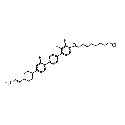 C/C=C/C1CCC(c2ccc(-c3ccc(-c4ccc(OCCCCCCCCC)c(F)c4F)cc3)c(F)c2)CC1